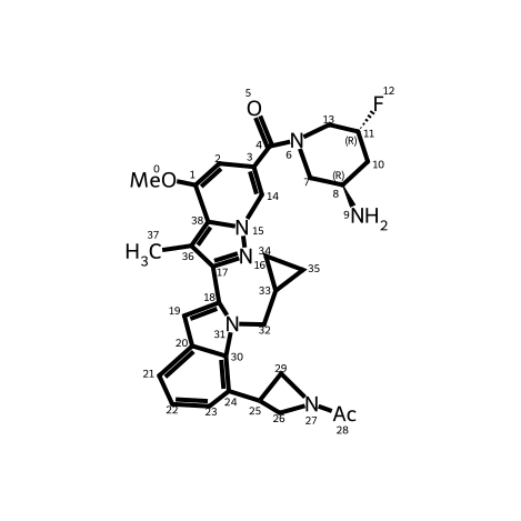 COc1cc(C(=O)N2C[C@H](N)C[C@@H](F)C2)cn2nc(-c3cc4cccc(C5CN(C(C)=O)C5)c4n3CC3CC3)c(C)c12